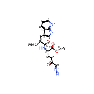 CO[C@@H](Cc1c[nH]c2ncccc12)C(=O)N[C@@H](CCC(=O)C=[N+]=[N-])C(=O)OC(C)C